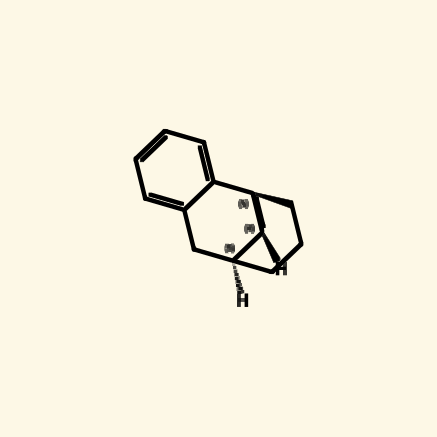 c1ccc2c(c1)C[C@@H]1CCC[C@]23CCCC[C@H]13